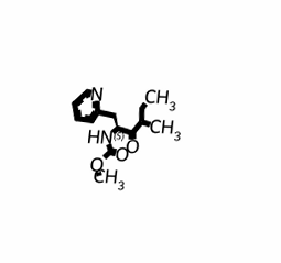 CCC(C)C(=O)[C@H](Cc1ccccn1)NC(=O)OC